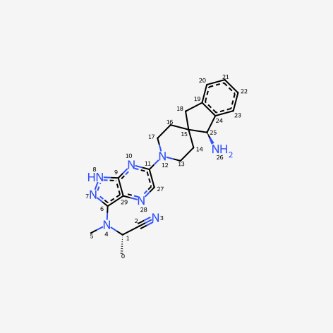 C[C@@H](C#N)N(C)c1n[nH]c2nc(N3CCC4(CC3)Cc3ccccc3[C@H]4N)cnc12